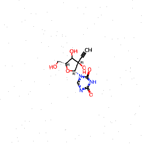 C#C[C@@]1(O)C(O)[C@@H](CO)O[C@H]1n1cnc(=O)[nH]c1=O